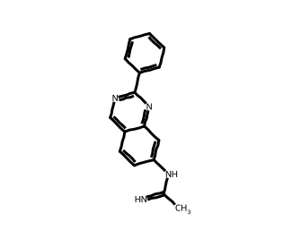 CC(=N)Nc1ccc2cnc(-c3ccccc3)nc2c1